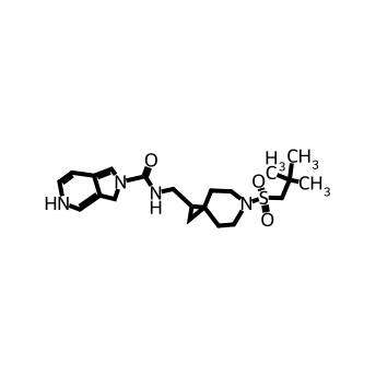 CC(C)(C)CS(=O)(=O)N1CCC2(CC1)CC2CNC(=O)N1C=C2C=CNC=C2C1